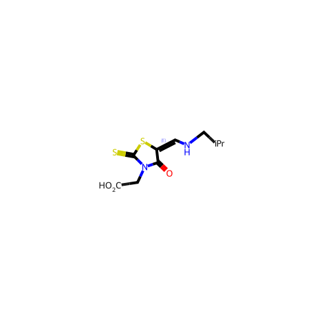 CC(C)CN/C=C1/SC(=S)N(CC(=O)O)C1=O